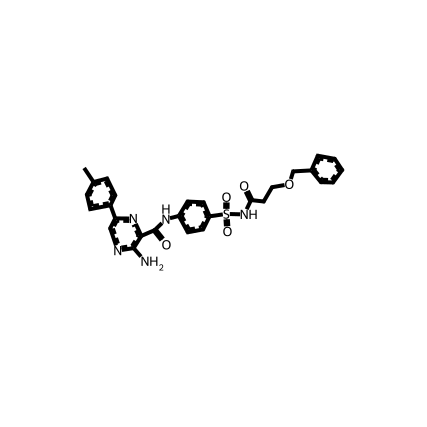 Cc1ccc(-c2cnc(N)c(C(=O)Nc3ccc(S(=O)(=O)NC(=O)CCOCc4ccccc4)cc3)n2)cc1